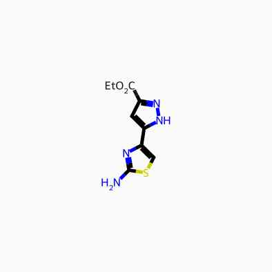 CCOC(=O)c1cc(-c2csc(N)n2)[nH]n1